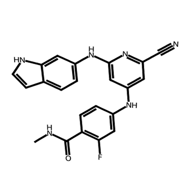 CNC(=O)c1ccc(Nc2cc(C#N)nc(Nc3ccc4cc[nH]c4c3)c2)cc1F